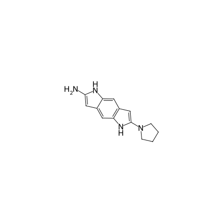 Nc1cc2cc3[nH]c(N4CCCC4)cc3cc2[nH]1